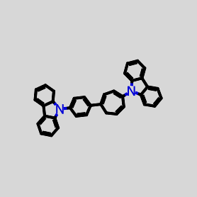 C1=CCC2C(=C1)c1ccccc1N2c1ccc(C2=CC=C(n3c4ccccc4c4ccccc43)C=CC2)cc1